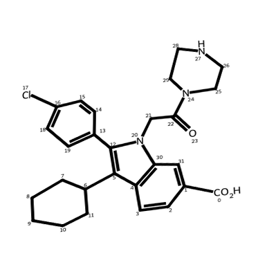 O=C(O)c1ccc2c(C3CCCCC3)c(-c3ccc(Cl)cc3)n(CC(=O)N3CCNCC3)c2c1